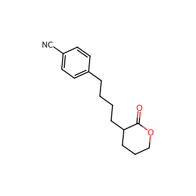 N#Cc1ccc(CCCCC2CCCOC2=O)cc1